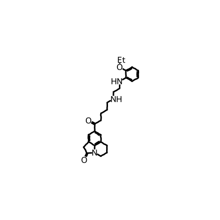 CCOc1ccccc1NCCNCCCCC(=O)c1cc2c3c(c1)CC(=O)N3CCC2